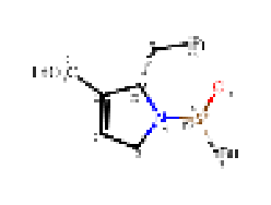 CCOC(=O)C1=CCN([S@+]([O-])C(C)(C)C)[C@H]1CC(C)C